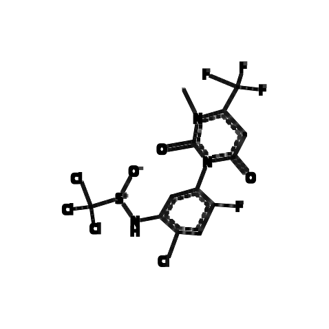 Cn1c(C(F)(F)F)cc(=O)n(-c2cc(N[S+]([O-])C(Cl)(Cl)Cl)c(Cl)cc2F)c1=O